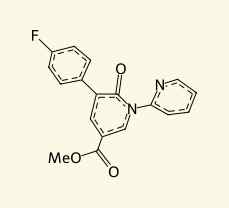 COC(=O)c1cc(-c2ccc(F)cc2)c(=O)n(-c2ccccn2)c1